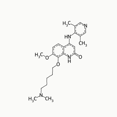 COc1ccc2c(Nc3c(C)cncc3C)cc(=O)[nH]c2c1OCCCCCN(C)C